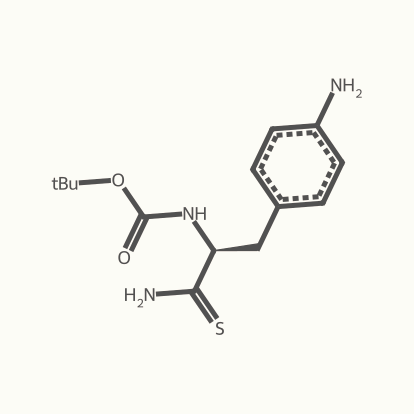 CC(C)(C)OC(=O)N[C@@H](Cc1ccc(N)cc1)C(N)=S